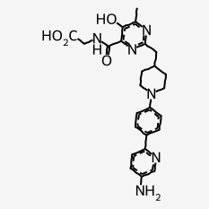 Cc1nc(CC2CCN(c3ccc(-c4ccc(N)cn4)cc3)CC2)nc(C(=O)NCC(=O)O)c1O